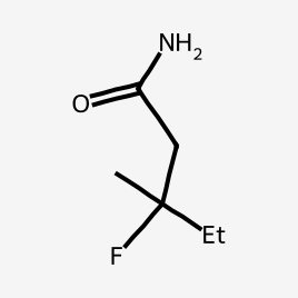 CCC(C)(F)CC(N)=O